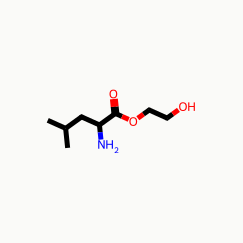 CC(C)CC(N)C(=O)OCCO